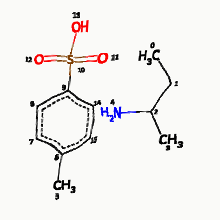 CCC(C)N.Cc1ccc(S(=O)(=O)O)cc1